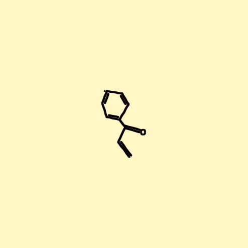 C=CC(=O)c1cc[c]cc1